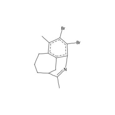 CC1=Nc2c(Br)c(Br)c(C)c3c2CC1CCC3